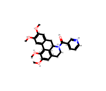 COc1cc2c(cc1OC)-c1c(OC)c(OC)cc3c1C(C2)N(C(=O)c1cccnc1)CC3